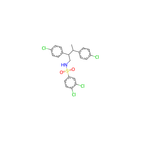 CC(c1ccc(Cl)cc1)C(CNS(=O)(=O)c1ccc(Cl)c(Cl)c1)c1ccc(Cl)cc1